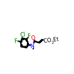 CCOC(=O)/C=C/C(=O)N(C)c1ccc(F)c(Cl)c1F